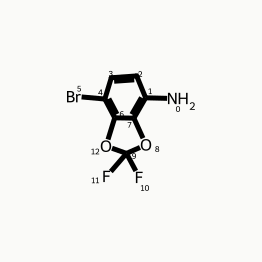 Nc1ccc(Br)c2c1OC(F)(F)O2